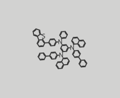 c1ccc(-c2ccc(N(c3cc(N(c4ccccc4)c4ccc(-c5cccc6c5sc5ccccc56)cc4)cc(N(c4ccc(-c5ccccc5)cc4)c4cccc5ccccc45)c3)c3cccc4ccccc34)cc2)cc1